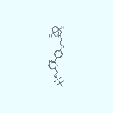 CC(C)(C)[Si](C)(C)OCc1ccnc(-c2ccc(OCCN3C[C@H]4CC[C@@H](C3)O4)cc2)n1